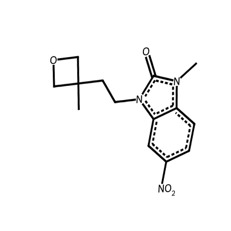 Cn1c(=O)n(CCC2(C)COC2)c2cc([N+](=O)[O-])ccc21